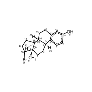 C[C@]12CC[C@@H]3c4ccc(O)cc4CC[C@H]3[C@@H]1CCC2Br